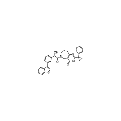 O=C([C@H](O)c1cccc(-c2csc3ccccc23)c1)N1CCCc2nc(C3(c4ccccc4)CC3)[nH]c(=O)c2C1